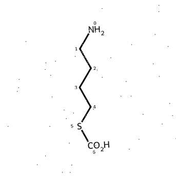 NCCCCSC(=O)O